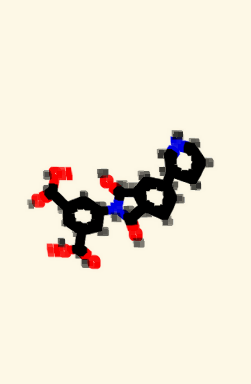 O=C(O)c1cc(C(=O)O)cc(N2C(=O)c3ccc(-c4cccnc4)cc3C2=O)c1